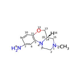 CN1CCN2c3cc(N)ccc3OC[C@@H]2C1